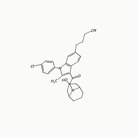 Cc1c(C(=O)CN2C3CCCC2CC(O)C3)c2ccc(CCCC#N)cc2n1-c1ccc(Cl)cc1